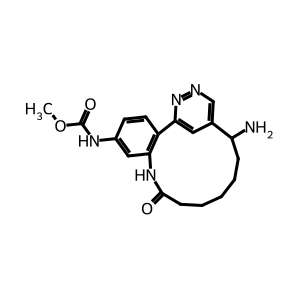 COC(=O)Nc1ccc2c(c1)NC(=O)CCCCCC(N)c1cnnc-2c1